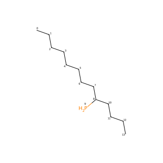 CCCCCCCCC(P)CCCC